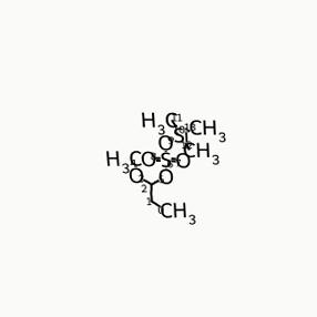 CCC(OC)OS(=O)(=O)O[Si](C)(C)C